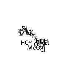 CCc1cc(Cl)c(OC)c(C(=O)NCCCCN2CCN(c3nsc4ccccc34)CC2)c1O.Cl